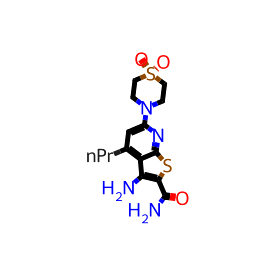 CCCc1cc(N2CCS(=O)(=O)CC2)nc2sc(C(N)=O)c(N)c12